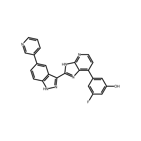 Oc1cc(F)cc(-c2ccnc3[nH]c(-c4n[nH]c5ccc(-c6cccnc6)cc45)nc23)c1